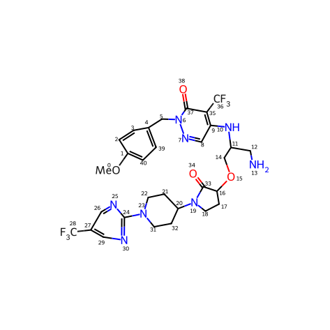 COc1ccc(Cn2ncc(NC(CN)COC3CCN(C4CCN(c5ncc(C(F)(F)F)cn5)CC4)C3=O)c(C(F)(F)F)c2=O)cc1